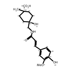 COc1cc(C=CC(=O)NC[C@]2(O)CC[C@](C)(C(=O)O)CC2)ccc1O